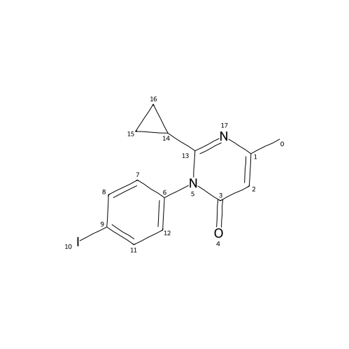 Cc1cc(=O)n(-c2ccc(I)cc2)c(C2CC2)n1